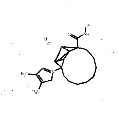 CC1=C(C)C[Si](C23CCCCCCCCC4(C(=O)[NH][Ti+2])C5C46C2C536)=C1.[Cl-].[Cl-]